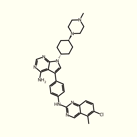 Cc1c(Cl)ccc2nc(Nc3ccc(-c4cn([C@H]5CC[C@H](N6CCN(C)CC6)CC5)c5ncnc(N)c45)cc3)ncc12